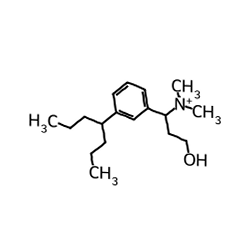 CCCC(CCC)c1cccc(C(CCO)[N+](C)C)c1